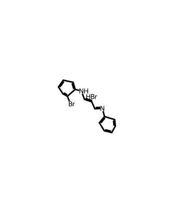 Br.Brc1ccccc1NC=CC=Nc1ccccc1